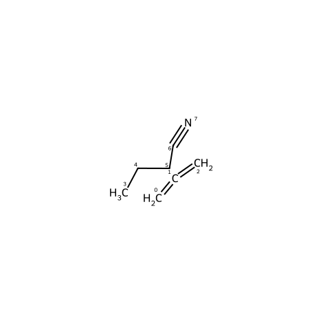 C=C=C.CCCC#N